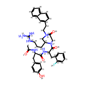 CC(=O)NC(Cc1ccc(O)cc1)C(=O)NC(Cc1ccccc1F)C(=O)N1CC(=O)N(CCc2ccc3ccccc3c2)CC1CCCNC(=N)N